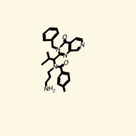 Cc1ccc(C(=O)N(CCCN)C(c2nc3cnccc3c(=O)n2Cc2ccccc2)C(C)C)cc1